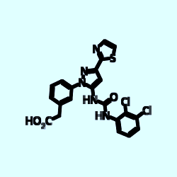 O=C(O)Cc1cccc(-n2nc(-c3nccs3)cc2NC(=O)Nc2cccc(Cl)c2Cl)c1